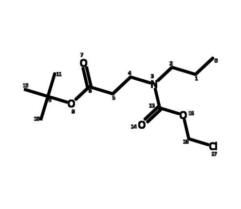 CCCN(CCC(=O)OC(C)(C)C)C(=O)OCCl